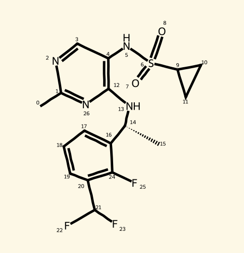 Cc1ncc(NS(=O)(=O)C2CC2)c(N[C@H](C)c2cccc(C(F)F)c2F)n1